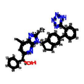 CCc1nc2c(C)cc(C(O)c3ccccc3)nc2n1[C@H]1CCc2cc(-c3ccccc3-c3nnn[nH]3)ccc21